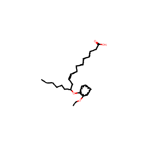 CCCCCCC(C/C=C\CCCCCCCC(=O)O)Oc1ccccc1OCC